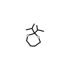 CC(C)C1(C(C)C)OCCCCO1